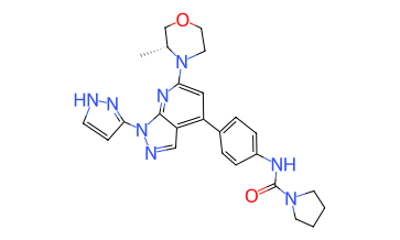 C[C@@H]1COCCN1c1cc(-c2ccc(NC(=O)N3CCCC3)cc2)c2cnn(-c3cc[nH]n3)c2n1